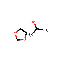 C1COCO1.CC(C)O